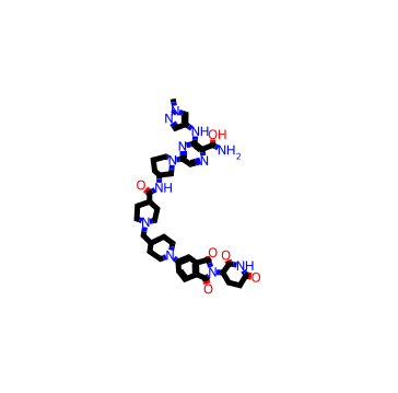 Cn1cc(Nc2nc(N3CCCC(NC(=O)C4CCN(CC5CCN(c6ccc7c(c6)C(=O)N(C6CCC(=O)NC6=O)C7=O)CC5)CC4)C3)cnc2C(N)O)cn1